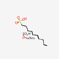 CCCCCCCCCCOS(=O)(=O)O.CCCCCCCCCCS(=O)(=O)O